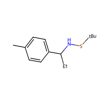 CCC(NSC(C)(C)C)c1ccc(C)cc1